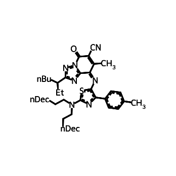 CCCCCCCCCCCCN(CCCCCCCCCCCC)c1nc(-c2ccc(C)cc2)c(/N=C2/C(C)=C(C#N)C(=O)n3nc(C(CC)CCCC)nc32)s1